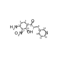 Nc1ccc(C(=O)C=Cc2cccnc2)c(O)c1[N+](=O)[O-]